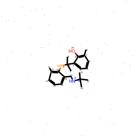 Cc1cccc(C(C)(C)Pc2c(C)cccc2CNC(C)(C)C)c1O